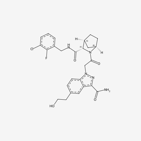 NC(=O)c1nn(CC(=O)N2[C@@H]3CC[C@@H](C3)[C@H]2C(=O)NCc2cccc(Cl)c2F)c2ccc(CCO)cc12